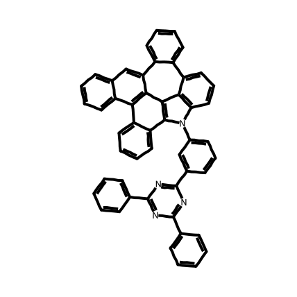 c1ccc(-c2nc(-c3ccccc3)nc(-c3cccc(-n4c5cccc6c5c5c7c(cc8ccccc8c7c7ccccc7c54)-c4ccccc4-6)c3)n2)cc1